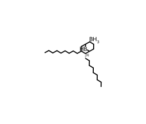 B.CCCCCCCCCC1CC2BC(CCC2)[C@@H]1CCCCCCCCC